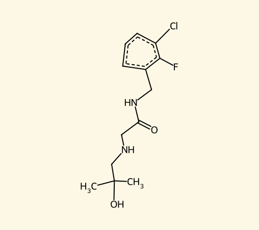 CC(C)(O)CNCC(=O)NCc1cccc(Cl)c1F